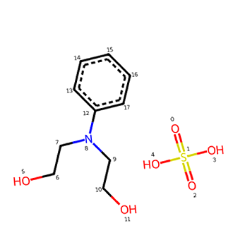 O=S(=O)(O)O.OCCN(CCO)c1ccccc1